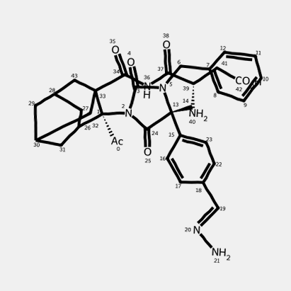 CC(=O)[C@]1(N2C(=O)N(Cc3ccccc3)[C@](C)(c3ccc(C=NN)cc3)C2=O)C2CC3CC(C2)CC1(C(=O)NC(=O)[C@@H](N)CC(=O)O)C3